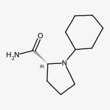 NC(=O)[C@H]1CCCN1C1CCCCC1